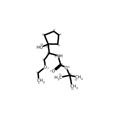 CCOCC(NC(=O)OC(C)(C)C)C1(O)CCCC1